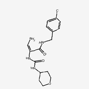 N/C=C(/NC(=O)NC1CCOCC1)C(=O)NCc1ccc(Cl)cc1